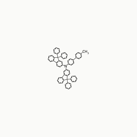 Cc1ccc(-c2ccc(N(c3ccc4c(c3)-c3ccccc3C4(c3ccccc3)c3ccccc3)c3ccc4c(c3)C(c3ccccc3)(c3ccccc3)c3ccccc3-4)cc2)cc1